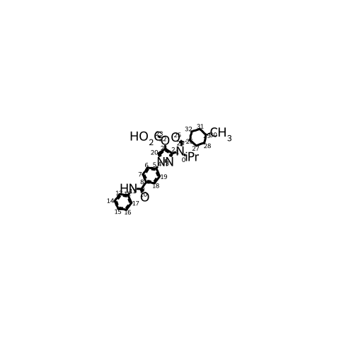 CC(C)N(c1nn(-c2ccc(C(=O)Nc3ccccc3)cc2)cc1OC(=O)O)C(=O)[C@H]1CC[C@H](C)CC1